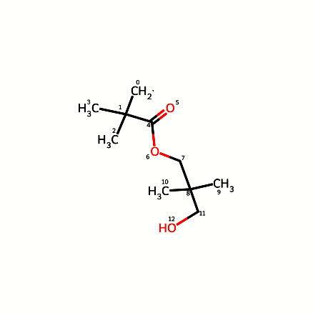 [CH2]C(C)(C)C(=O)OCC(C)(C)CO